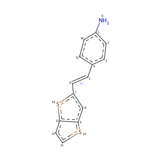 Nc1ccc(/C=C/c2cc3sccc3s2)cc1